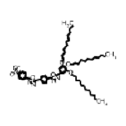 CCCCCCCCCCCCOc1cc(-c2nnc(-c3ccc(-c4nnc(-c5ccc([N+](=O)[O-])cc5)o4)cc3)o2)cc(OCCCCCCCCCCCC)c1OCCCCCCCCCCCC